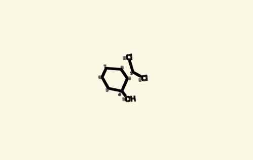 ClCCl.OC1CCCCC1